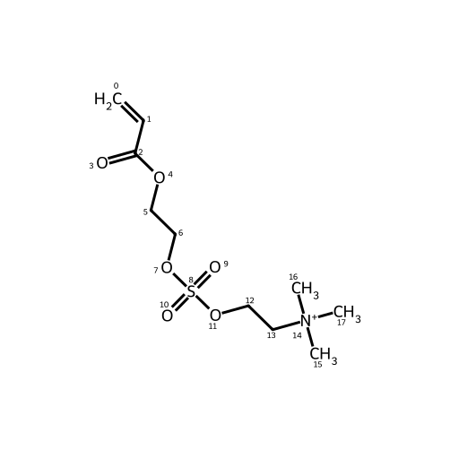 C=CC(=O)OCCOS(=O)(=O)OCC[N+](C)(C)C